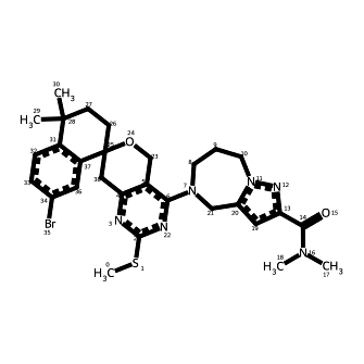 CSc1nc2c(c(N3CCCn4nc(C(=O)N(C)C)cc4C3)n1)COC1(CCC(C)(C)c3ccc(Br)cc31)C2